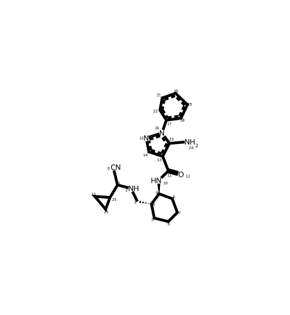 N#CC(NC[C@H]1CCCC[C@@H]1NC(=O)c1cnn(-c2ccccc2)c1N)C1CC1